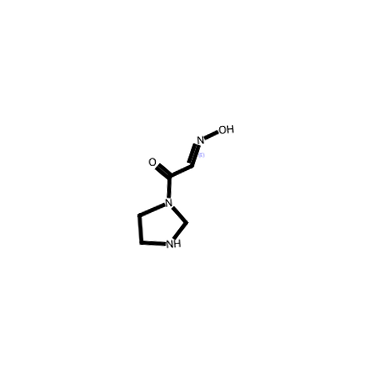 O=C(/C=N/O)N1CCNC1